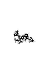 C=C[C@H]1COc2c(Cl)c(-c3ccc(F)c4sc(NC(=O)OC(C)(C)C)c(C#N)c34)c(F)c3nc(OC[C@@]45CCCN4C[C@H](F)C5)nc(c23)N1CCC(F)F